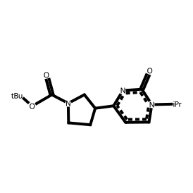 CC(C)n1ccc(C2CCN(C(=O)OC(C)(C)C)C2)nc1=O